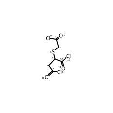 O=C(Cl)CSC(CC(=O)Cl)C(=O)Cl